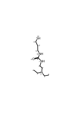 CCN(CC)CCNC(=O)NCCCS